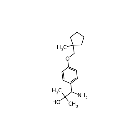 CC1(COc2ccc(C(N)C(C)(C)O)cc2)CCCC1